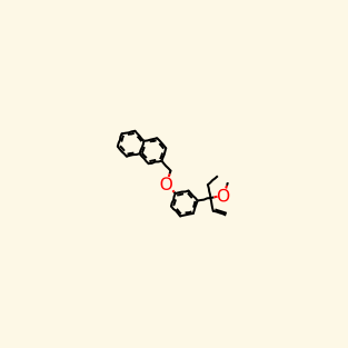 C=CC(CC)(OC)c1cccc(OCc2ccc3ccccc3c2)c1